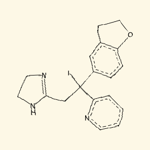 IC(CC1=NCCN1)(c1ccc2c(c1)CCO2)c1ccccn1